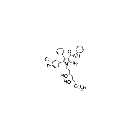 CC(C)c1c(C(=O)Nc2ccccc2)c(-c2ccccc2)c(-c2ccc(F)cc2)n1CC[C@@H](O)C[C@@H](O)CC(=O)O.[Ca]